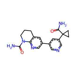 NC(=O)N1CCCc2cc(-c3cncc(C4(C(N)=O)CC4)c3)cnc21